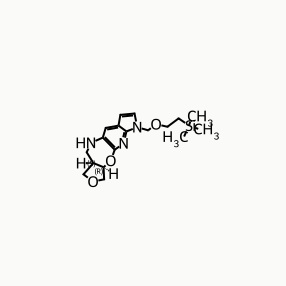 C[Si](C)(C)CCOCn1ccc2cc3c(nc21)O[C@H]1COC[C@@H]1CN3